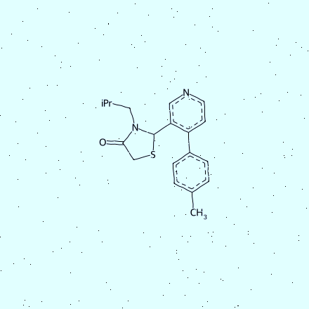 Cc1ccc(-c2ccncc2C2SCC(=O)N2CC(C)C)cc1